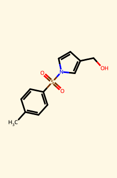 Cc1ccc(S(=O)(=O)n2ccc(CO)c2)cc1